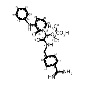 CC(=O)O.CCOC(C(=O)NCc1ccc(C(=N)N)cc1)n1cccc(Nc2ccccc2)c1=O